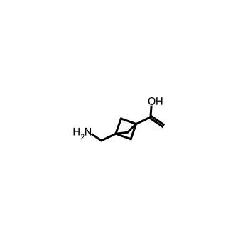 C=C(O)C12CC(CN)(C1)C2